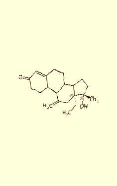 C=C1C[C@@]2(CC)C(CC[C@]2(C)O)C2CCC3=CC(=O)CCC3C12